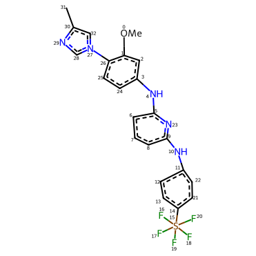 COc1cc(Nc2cccc(Nc3ccc(S(F)(F)(F)(F)F)cc3)n2)ccc1-n1cnc(C)c1